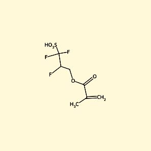 C=C(C)C(=O)OCC(F)C(F)(F)S(=O)(=O)O